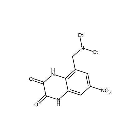 C[CH]N(CC)Cc1cc([N+](=O)[O-])cc2[nH]c(=O)c(=O)[nH]c12